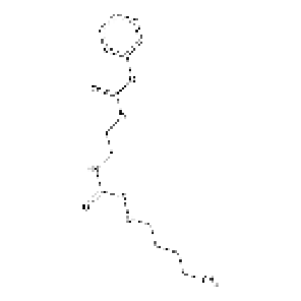 CCCCCOSC(=O)NCCOC(=O)Oc1ccccc1